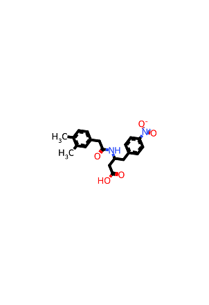 Cc1ccc(CC(=O)NC(CC(=O)O)Cc2ccc([N+](=O)[O-])cc2)cc1C